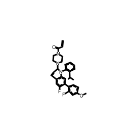 C=CC(=O)N1CCN(C2C=Cc3cc(F)c(-c4ccc(OC)cc4F)cc3N2c2ccccc2C(C)C)CC1